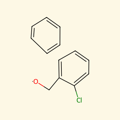 [O]Cc1ccccc1Cl.c1ccccc1